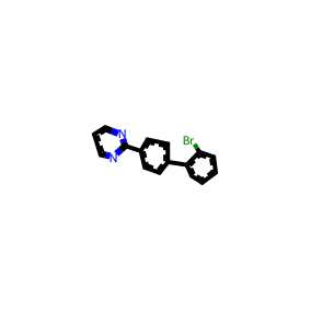 Brc1ccccc1-c1ccc(-c2ncccn2)cc1